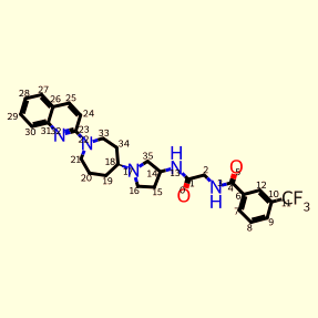 O=C(CNC(=O)c1cccc(C(F)(F)F)c1)NC1CCN([C@H]2CCCN(c3ccc4ccccc4n3)CC2)C1